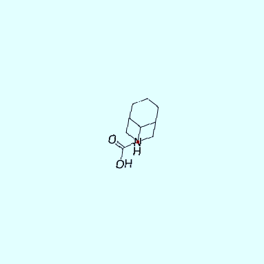 O=C(O)CC1C2CCCC1CNC2